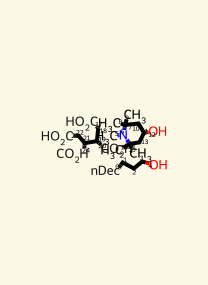 CCCCCCCCCCCCCO.CN1C(C)(C)CC(O)CC1(C)C.O=C(O)CC(C(=O)O)C(CC(=O)O)C(=O)O